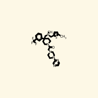 Cc1ccc(CN(C)CC2(c3cccc(C(F)(F)F)c3)CCN(C(=O)CN3CCN(c4cnccn4)CC3)CC2)s1